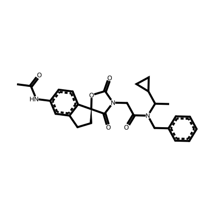 CC(=O)Nc1ccc2c(c1)CC[C@]21OC(=O)N(CC(=O)N(Cc2ccccc2)C(C)C2CC2)C1=O